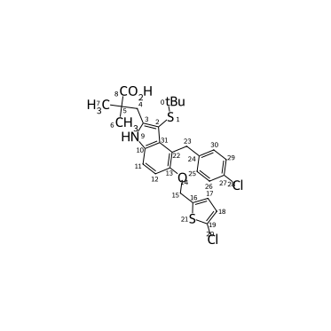 CC(C)(C)Sc1c(CC(C)(C)C(=O)O)[nH]c2ccc(OCc3ccc(Cl)s3)c(Cc3ccc(Cl)cc3)c12